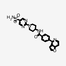 NS(=O)(=O)c1cnc(N2CCC(NC(=O)c3ccc(-c4nccc5occc45)cc3)CC2)nc1